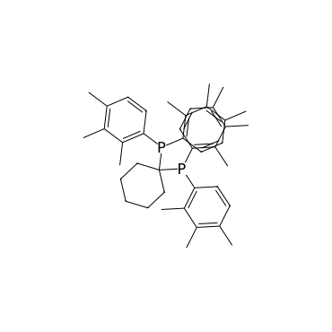 Cc1ccc(P(c2ccc(C)c(C)c2C)C2(P(c3ccc(C)c(C)c3C)c3ccc(C)c(C)c3C)CCCCC2)c(C)c1C